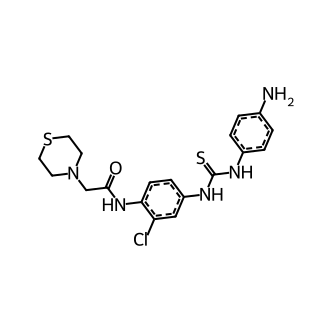 Nc1ccc(NC(=S)Nc2ccc(NC(=O)CN3CCSCC3)c(Cl)c2)cc1